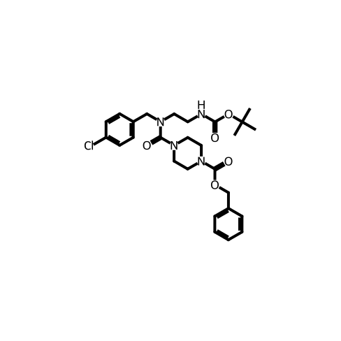 CC(C)(C)OC(=O)NCCN(Cc1ccc(Cl)cc1)C(=O)N1CCN(C(=O)OCc2ccccc2)CC1